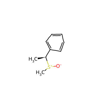 C[C@@H](c1ccccc1)[S+](C)[O-]